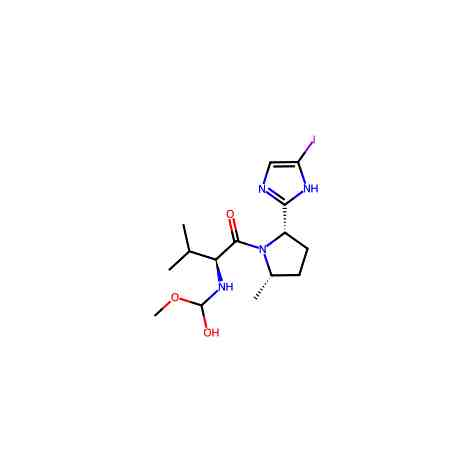 COC(O)N[C@H](C(=O)N1[C@@H](C)CC[C@H]1c1ncc(I)[nH]1)C(C)C